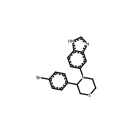 Brc1ccc(C2CS[CH]CN2c2ccc3[nH]cnc3c2)cc1